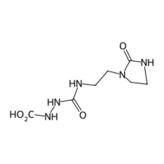 O=C(O)NNC(=O)NCCN1CCNC1=O